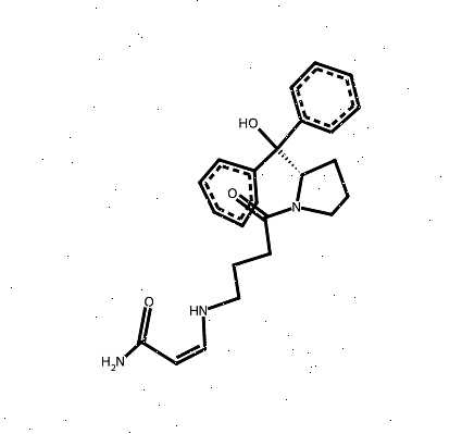 NC(=O)/C=C\NCCCC(=O)N1CCC[C@H]1C(O)(c1ccccc1)c1ccccc1